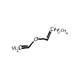 C.C=COC=C